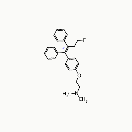 CN(C)CCOc1ccc(/C(=C(\CCF)c2ccccc2)c2ccccc2)cc1